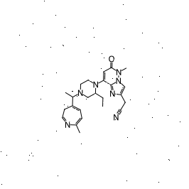 CCC1CN(C(C)C2=CC=C(C)N=CC2)CCN1c1cc(=O)n(C)n2cc(CC#N)nc12